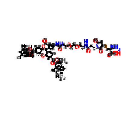 CC1(C)[C@@H]2C[C@H]1C1OB(c3ccc4c(c3)Oc3cc(B5OC6C[C@@H]7C[C@@H](C7(C)C)[C@]6(C)O5)ccc3C43OC(=O)c4cc(NC(=O)CCOCCOCCNC(=O)CCN5C(=O)CC(SCC(N)C(=O)O)C5=O)ccc43)O[C@@]1(C)C2